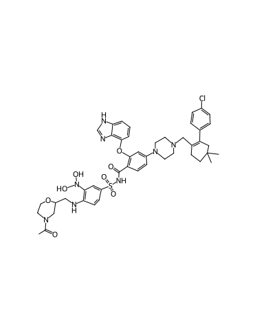 CC(=O)N1CCOC(CNc2ccc(S(=O)(=O)NC(=O)c3ccc(N4CCN(CC5=C(c6ccc(Cl)cc6)CC(C)(C)CC5)CC4)cc3Oc3cccc4[nH]cnc34)cc2N(O)O)C1